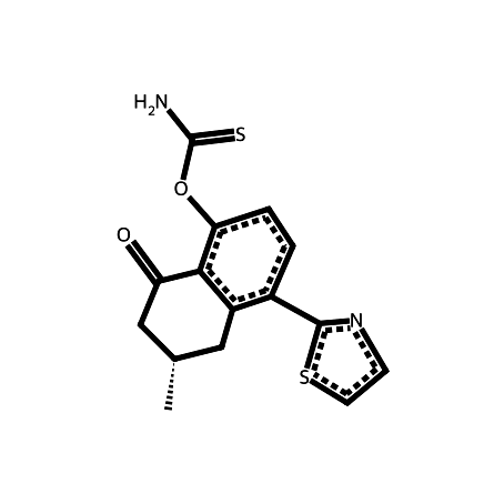 C[C@@H]1CC(=O)c2c(OC(N)=S)ccc(-c3nccs3)c2C1